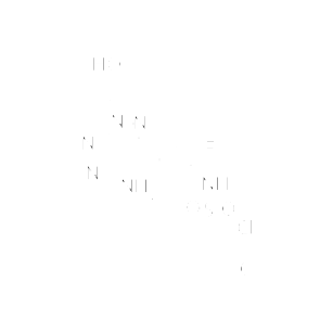 Nc1ncnc2c1c(-c1ccc(NS(=O)(=O)c3cccc(Cl)c3Cl)c(F)c1)nn2CCO